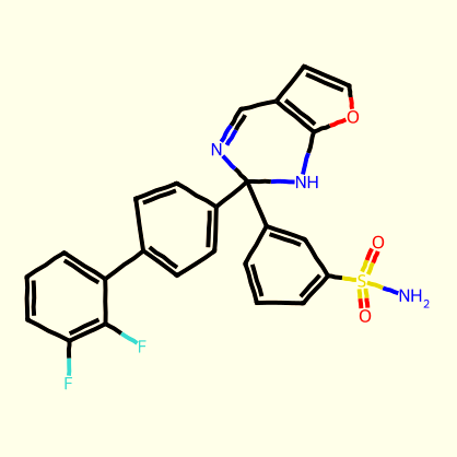 NS(=O)(=O)c1cccc(C2(c3ccc(-c4cccc(F)c4F)cc3)N=Cc3ccoc3N2)c1